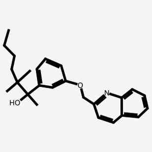 CCCCC(C)(C)C(C)(O)c1cccc(OCc2ccc3ccccc3n2)c1